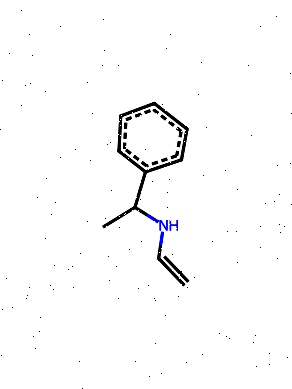 C=CNC(C)c1ccccc1